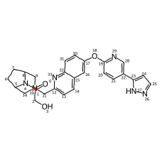 O=C(CO)N1C2CCC1CN(Cc1ccc3cc(Oc4ccc(-c5ccn[nH]5)cn4)ccc3n1)C2